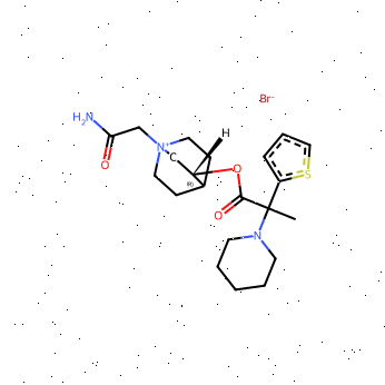 CC(C(=O)O[C@H]1C[N+]2(CC(N)=O)CCC1CC2)(c1cccs1)N1CCCCC1.[Br-]